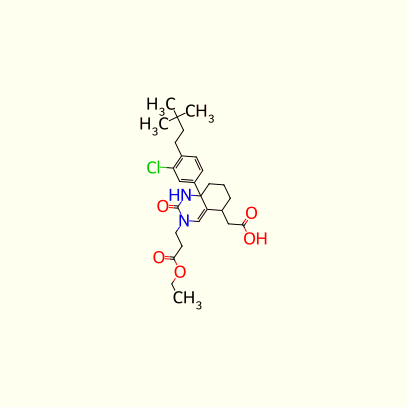 CCOC(=O)CCN1C=C2C(CC(=O)O)CCCC2(c2ccc(CCC(C)(C)C)c(Cl)c2)NC1=O